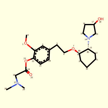 COc1cc(CCO[C@@H]2CCCC[C@H]2N2CCC(O)C2)ccc1OC(=O)CN(C)C